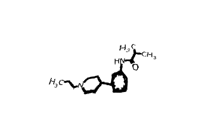 CC[CH]N1CCC(c2cccc(NC(=O)C(C)C)c2)CC1